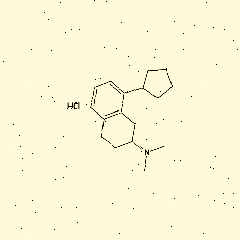 CN(C)[C@@H]1CCc2cccc(C3CCCC3)c2C1.Cl